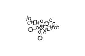 COc1ccc(-n2c(C(=O)N3CCN(C(=O)OC(C)(C)C)CC3)c(OCc3ccccc3)c(OCc3ccccc3)c2C(=O)N2CCN(C(=O)OC(C)(C)C)CC2)cc1